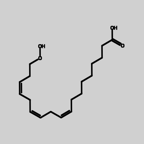 O=C(O)CCCCCCC/C=C\C/C=C\C/C=C\CCOO